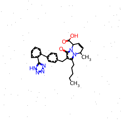 CCCCCc1c(Cc2ccc(-c3ccccc3-c3nnn[nH]3)cc2)c(=O)n2n1C(C)C=CC2C(=O)O